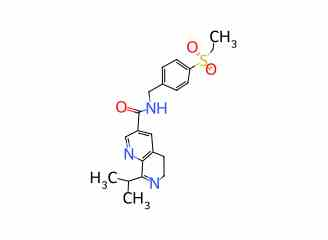 CCS(=O)(=O)c1ccc(CNC(=O)c2cnc3c(c2)CCN=C3C(C)C)cc1